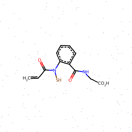 C=CC(=O)N(S)c1ccccc1C(=O)NCC(=O)O